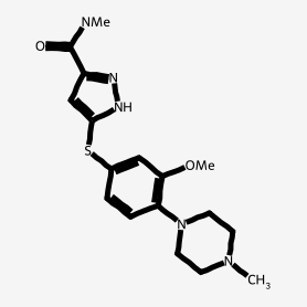 CNC(=O)c1cc(Sc2ccc(N3CCN(C)CC3)c(OC)c2)[nH]n1